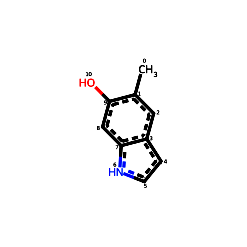 Cc1cc2[c]c[nH]c2cc1O